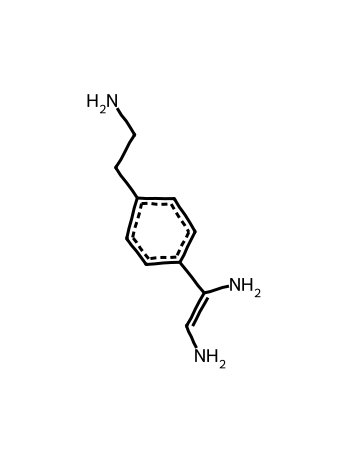 N/C=C(\N)c1ccc(CCN)cc1